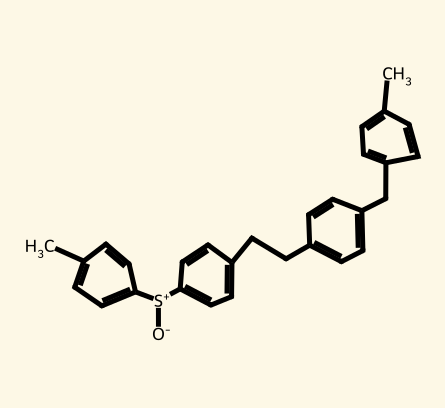 Cc1ccc(Cc2ccc(CCc3ccc([S+]([O-])c4ccc(C)cc4)cc3)cc2)cc1